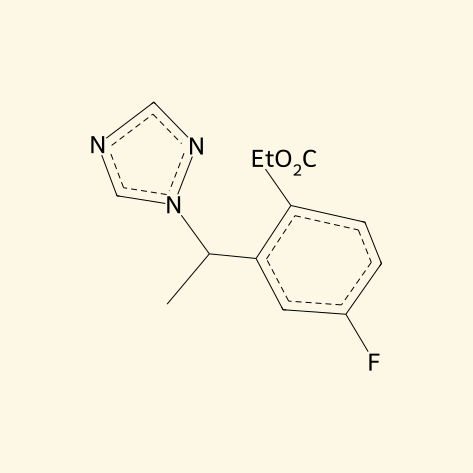 CCOC(=O)c1ccc(F)cc1C(C)n1cncn1